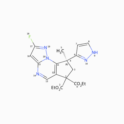 CCOC(=O)C1(C(=O)OCC)C[C@](C)(c2cc[nH]n2)c2c1cnc1cc(F)nn21